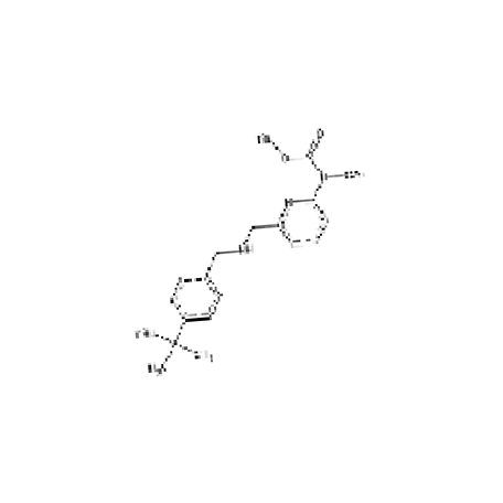 CCCCC(C)(C)c1ccc(CNCc2cccc(N(OC(C)=O)C(=O)OC(C)(C)C)n2)cc1